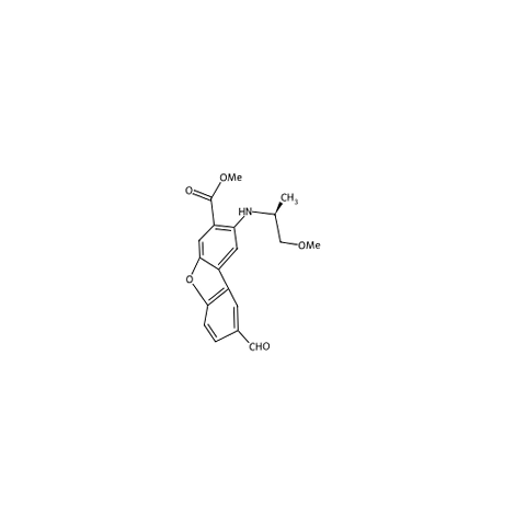 COC[C@H](C)Nc1cc2c(cc1C(=O)OC)oc1ccc(C=O)cc12